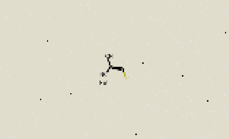 N#CC(C#N)=C[S-].[Na+]